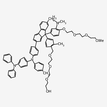 COCCOCCOCCOc1ccc(C2(c3ccc(COCCOCCOCCO)c(C)c3)c3cc(C)ccc3-c3ccc(-c4ccc(N(c5ccc(C)cc5)c5ccc(N(c6ccccc6)c6ccccc6)cc5)cc4)cc32)cc1N(C)C